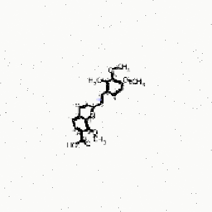 COc1ccc(/C=C/c2ccc3ccc(C(=O)O)c(OC)c3n2)c(C)c1OC